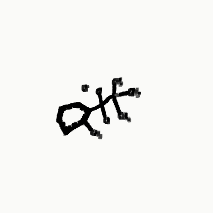 Cc1ccccc1C(Cl)(Cl)[N+](C)(C)C.[Cl-]